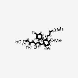 COCCOc1c(OC)cc(C(C)C)c(/C=C/C(O)CC(O)CC(=O)O)c1-c1ccc(F)cc1